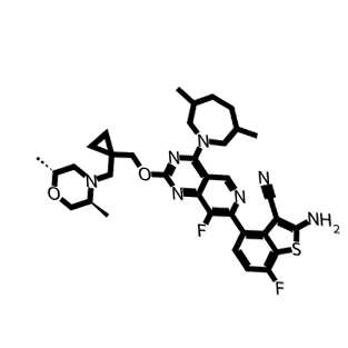 CC1CCC(C)CN(c2nc(OCC3(CN4C[C@@H](C)OC[C@@H]4C)CC3)nc3c(F)c(-c4ccc(F)c5sc(N)c(C#N)c45)ncc23)C1